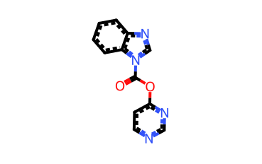 O=C(Oc1ccncn1)n1cnc2ccccc21